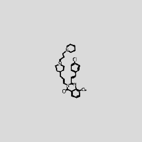 COc1cccc2c(=O)n(CCCC3CCN(CCCN4CCCCC4)CC3)c(C=Cc3ccc(Cl)cc3)nc12